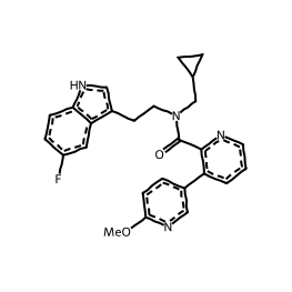 COc1ccc(-c2cccnc2C(=O)N(CCc2c[nH]c3ccc(F)cc23)CC2CC2)cn1